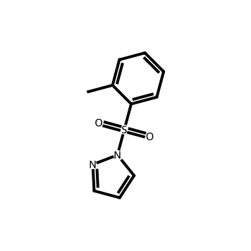 Cc1ccccc1S(=O)(=O)n1cccn1